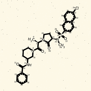 C[C@H](C(=O)N1CCCC(NC(=O)c2ccccc2)C1)N1CC[C@@H](N(C)S(=O)(=O)c2ccc3cc(Cl)ccc3c2)C1=O